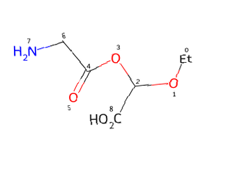 CCOC(OC(=O)CN)C(=O)O